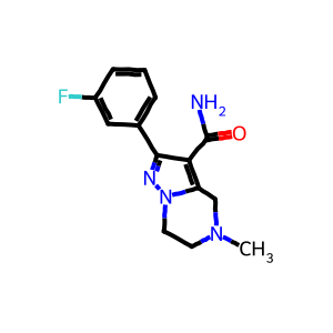 CN1CCn2nc(-c3cccc(F)c3)c(C(N)=O)c2C1